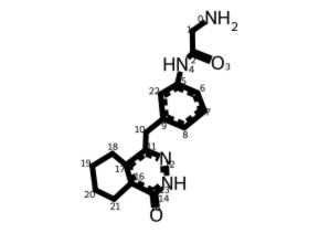 NCC(=O)Nc1cccc(Cc2n[nH]c(=O)c3c2CCCC3)c1